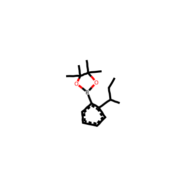 CCC(C)c1ccccc1B1OC(C)(C)C(C)(C)O1